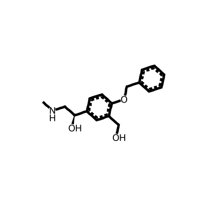 CNC[C@H](O)c1ccc(OCc2ccccc2)c(CO)c1